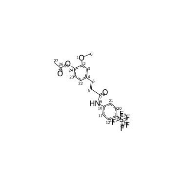 COc1cc(C=CC(=O)Nc2ccc(S(F)(F)(F)(F)F)cc2)ccc1OC(C)=O